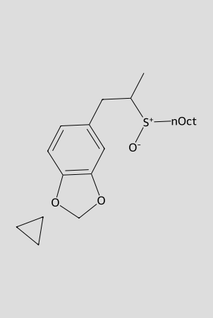 C1CC1.CCCCCCCC[S+]([O-])C(C)Cc1ccc2c(c1)OCO2